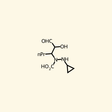 CCCC(C(O)C=O)N(NC1CC1)C(=O)O